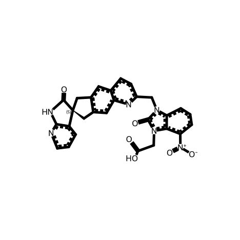 O=C(O)Cn1c(=O)n(Cc2ccc3cc4c(cc3n2)C[C@]2(C4)C(=O)Nc3ncccc32)c2cccc([N+](=O)[O-])c21